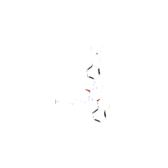 CCOCN(C(=O)Nc1ccc(SC(F)(F)F)cc1F)C(=O)c1c(F)cccc1F